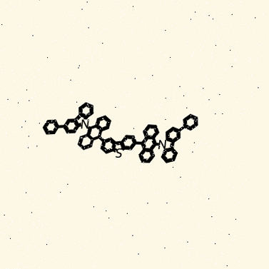 C1=CC2=C(n3c4ccccc4c4cc(-c5ccccc5)ccc43)c3ccccc3C(c3ccc4sc5cc(-c6c7ccccc7c(-n7c8ccccc8c8cc(-c9ccccc9)ccc87)c7ccccc67)ccc5c4c3)C2C=C1